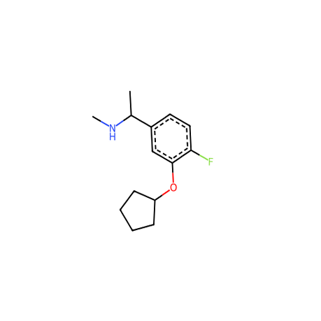 CNC(C)c1ccc(F)c(OC2CCCC2)c1